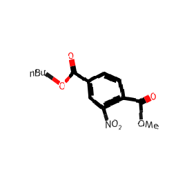 CCCCOC(=O)c1ccc(C(=O)OC)c([N+](=O)[O-])c1